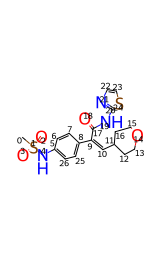 CS(=O)(=O)Nc1ccc(C(=CC2CCOCC2)C(=O)Nc2nccs2)cc1